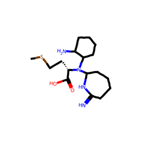 CSCC[C@@H](C(=O)O)N(C1CCCCC(=N)N1)C1CCCCC1N